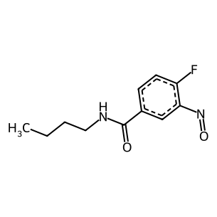 CCCCNC(=O)c1ccc(F)c(N=O)c1